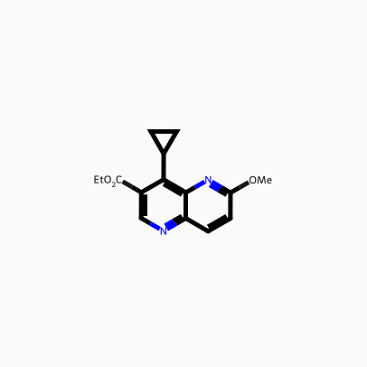 CCOC(=O)c1cnc2ccc(OC)nc2c1C1CC1